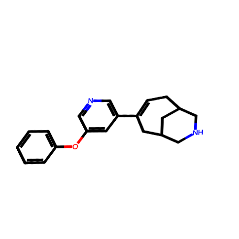 C1=C(c2cncc(Oc3ccccc3)c2)CC2CNCC(C1)C2